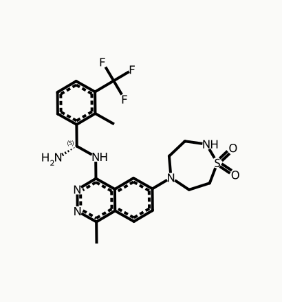 Cc1c([C@@H](N)Nc2nnc(C)c3ccc(N4CCNS(=O)(=O)CC4)cc23)cccc1C(F)(F)F